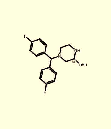 CCCC[C@H]1CN(C(c2ccc(F)cc2)c2ccc(F)cc2)CCN1